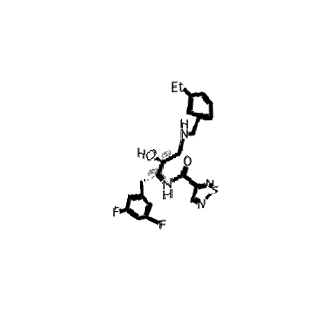 CCc1cccc(CNC[C@H](O)[C@@H](Cc2cc(F)cc(F)c2)NC(=O)c2cnsn2)c1